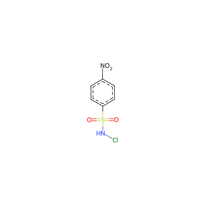 O=[N+]([O-])c1ccc(S(=O)(=O)NCl)cc1